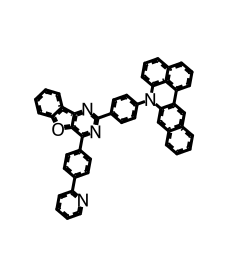 c1ccc(-c2ccc(-c3nc(-c4ccc(N5c6cc7ccccc7cc6-c6cccc7cccc5c67)cc4)nc4c3oc3ccccc34)cc2)nc1